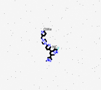 COc1ccc(CN2CCN(c3ccc(-c4cc(-c5cnn(C)c5)cn5nc(F)c(C#N)c45)cn3)CC2)cn1